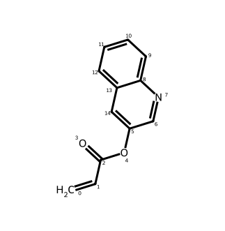 C=CC(=O)Oc1cnc2ccccc2c1